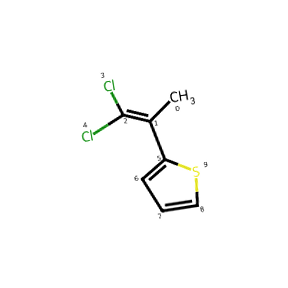 CC(=C(Cl)Cl)c1cccs1